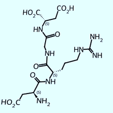 N=C(N)NCCC[C@H](NC(=O)[C@@H](N)CC(=O)O)C(=O)NCC(=O)N[C@@H](CC(=O)O)C(=O)O